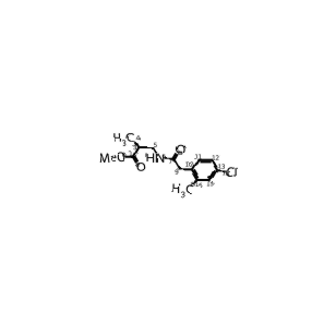 COC(=O)C(C)CNC(=O)Cc1ccc(Cl)cc1C